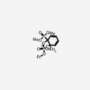 CCOP(=O)(O)OC1(P(=O)(OC)OC)C=CC=CC1(C)C